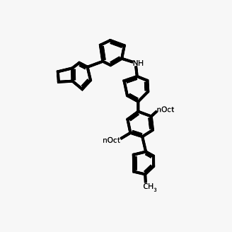 CCCCCCCCc1cc(-c2ccc(Nc3cccc(-c4ccc5c(c4)CC5)c3)cc2)c(CCCCCCCC)cc1-c1ccc(C)cc1